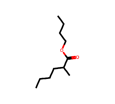 CCCCOC(=O)C(C)CCCC